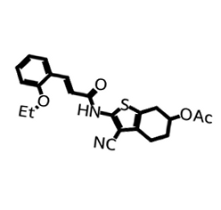 CCOc1ccccc1C=CC(=O)Nc1sc2c(c1C#N)CCC(OC(C)=O)C2